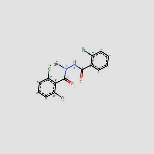 CC(C)(C)N(NC(=O)c1ccccc1Cl)C(=O)c1c(Cl)cccc1Cl